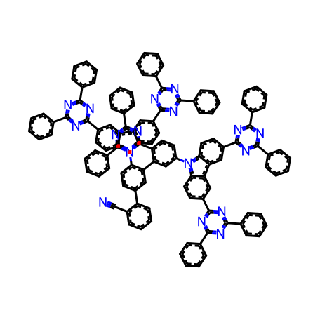 N#Cc1ccccc1-c1ccc(-n2c3ccc(-c4nc(-c5ccccc5)nc(-c5ccccc5)n4)cc3c3cc(-c4nc(-c5ccccc5)nc(-c5ccccc5)n4)ccc32)c(-c2cc(-n3c4ccc(-c5nc(-c6ccccc6)nc(-c6ccccc6)n5)cc4c4cc(-c5nc(-c6ccccc6)nc(-c6ccccc6)n5)ccc43)ccc2-c2nc(-c3ccccc3)nc(-c3ccccc3)n2)c1